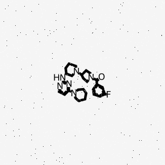 O=C(c1cccc(F)c1)N1CCC(N2CCCC(Nc3nccc(N4CCCCCC4)n3)C2)CC1